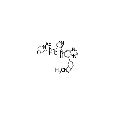 CC(=O)N1CCOCC1CNC(=O)c1ccncc1Nc1cc(-c2ccc3ccn(C)c3c2)c2nccnc2c1